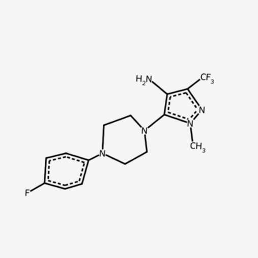 Cn1nc(C(F)(F)F)c(N)c1N1CCN(c2ccc(F)cc2)CC1